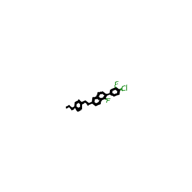 CCCc1ccc(CCc2ccc3c(F)c(-c4ccc(Cl)c(F)c4)ccc3c2)cc1